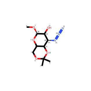 CO[C@@H]1OC2COC(C)(C)OC2[C@H](N=[N+]=[N-])C1O